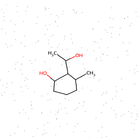 CC(O)C1C(C)CCCC1O